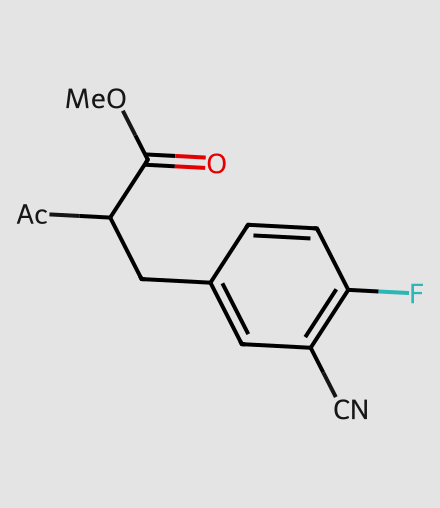 COC(=O)C(Cc1ccc(F)c(C#N)c1)C(C)=O